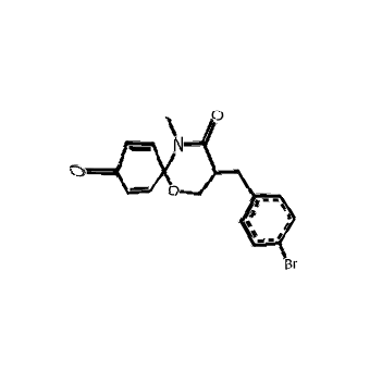 CN1C(=O)C(Cc2ccc(Br)cc2)COC12C=CC(=O)C=C2